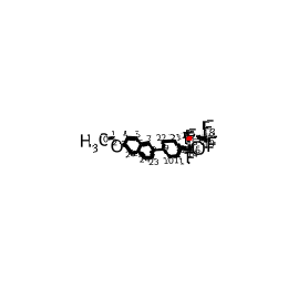 CCOc1ccc2cc(C3CCC(C(F)(F)OC(F)(F)F)CC3)ccc2c1